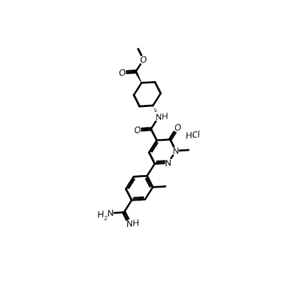 COC(=O)[C@H]1CC[C@H](NC(=O)c2cc(-c3ccc(C(=N)N)cc3C)nn(C)c2=O)CC1.Cl